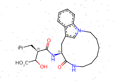 CC(C)C[C@@H](C(=O)N[C@H]1Cc2cn(c3ccccc23)CCCCCCNC1=O)C(O)C(=O)O